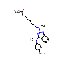 COC(=O)CCCCCCCN(C)c1nc(N(C)c2ccc(OC)cc2)c2ccccc2n1